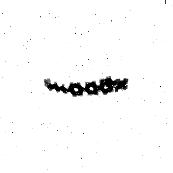 FCCC/C=C/[C@H]1CC[C@H](C2CCC(c3ccc(OC(F)(F)F)cc3)CC2)CC1